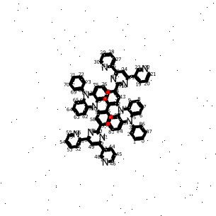 c1ccc(N2c3ccccc3N(c3cc(-c4nc(-c5cccnc5)cc(-c5ccccn5)n4)ccc3-c3ccc(-c4nc(-c5cccnc5)cc(-c5ccccn5)n4)cc3N3c4ccccc4N(c4ccccc4)c4ccccc43)c3ccccc32)cc1